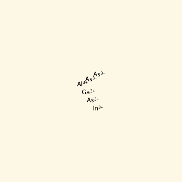 [Al+3].[As-3].[As-3].[As-3].[Ga+3].[In+3]